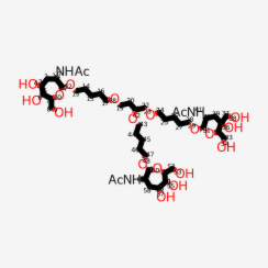 CC(=O)NC1CC(O)[C@@H](O)C(CO)O[C@H]1OCCCCCOCCC(COCCCCCO[C@@H]1OC(CO)C(O)(CO)CC1NC(C)=O)OCCCCCO[C@@H]1OC(CO)[C@H](O)C(O)CC1NC(C)=O